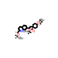 C[C@@H](O[Si](C)(C)C(C)(C)C)c1ccc2ccc(/C=C/[C@]3(C(=O)O[Si](C)(C)C(C)(C)C)CC[C@@](C)(O[Si](C)(C)C(C)(C)C)CC3)cc2n1